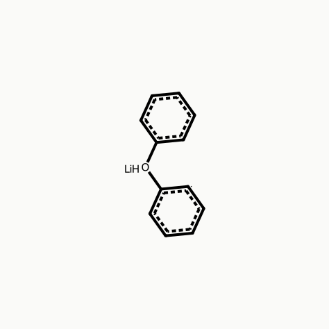 [LiH].[c]1ccccc1Oc1ccccc1